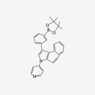 CC1(C)OB(c2cccc(-c3cn(-c4ccncc4)c4ccc5ccccc5c34)c2)OC1(C)C